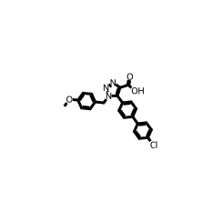 COc1ccc(Cn2nnc(C(=O)O)c2-c2ccc(-c3ccc(Cl)cc3)cc2)cc1